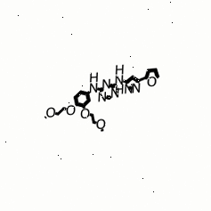 COCCOc1ccc(Nc2ncnc(Nc3cc(-c4ccco4)n[nH]3)n2)cc1OCCOC